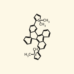 C[Si]1(C)C=CC=C1c1ccc2c3ccccc3c3c4cc(C5=CC=C[Si]5(C)C)ccc4c4ccccc4c3c2c1